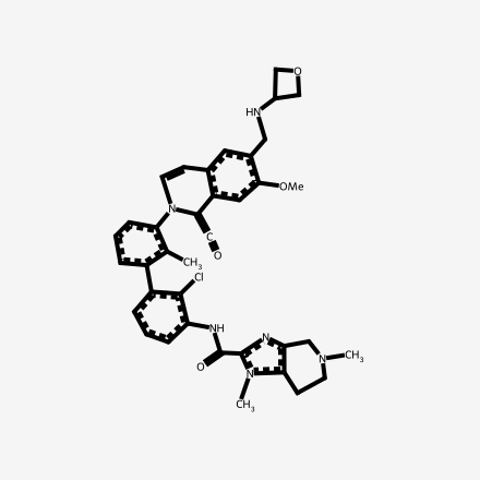 COc1cc2c(cc1CNC1COC1)C=CN(c1cccc(-c3cccc(NC(=O)c4nc5c(n4C)CCN(C)C5)c3Cl)c1C)C2=C=O